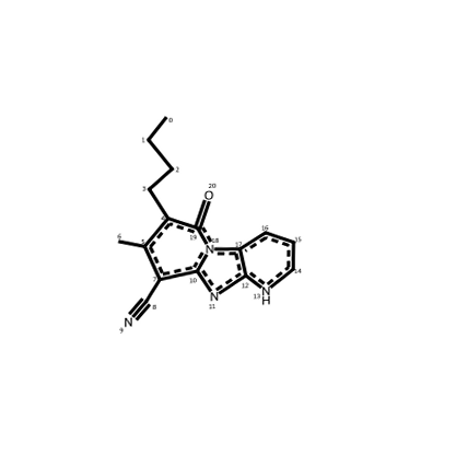 CCCCc1c(C)c(C#N)c2nc3[nH]cccc3n2c1=O